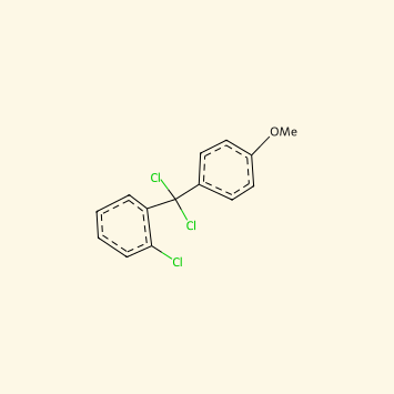 COc1ccc(C(Cl)(Cl)c2ccccc2Cl)cc1